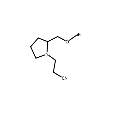 CC(C)OCC1CCCN1CCC#N